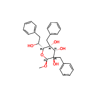 CO[C@H]1O[C@H](C(O)Cc2ccccc2)[C@@](O)(Cc2ccccc2)[C@H](O)[C@]1(O)Cc1ccccc1